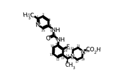 Cc1ccc(NC(=O)Nc2cccc([C@H](C)N3CCN(C(=O)O)CC3)c2F)cn1